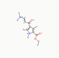 CCOC(=O)c1c(C)c(C(=O)/C=C/N(C)C)c(C)n1C